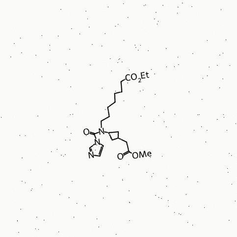 CCOC(=O)CCCCCCCN(C(=O)n1ccnc1)C1CC(CC(=O)OC)C1